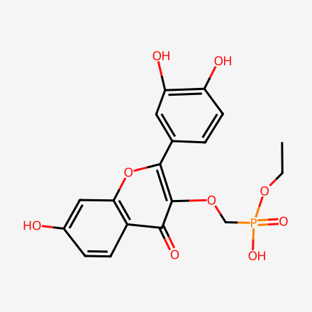 CCOP(=O)(O)COc1c(-c2ccc(O)c(O)c2)oc2cc(O)ccc2c1=O